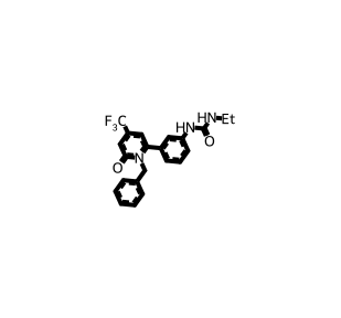 CCNC(=O)Nc1cccc(-c2cc(C(F)(F)F)cc(=O)n2Cc2ccccc2)c1